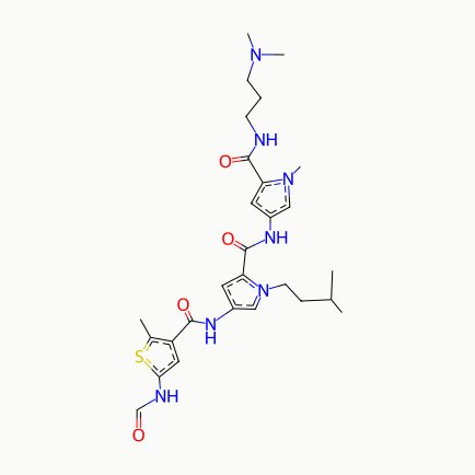 Cc1sc(NC=O)cc1C(=O)Nc1cc(C(=O)Nc2cc(C(=O)NCCCN(C)C)n(C)c2)n(CCC(C)C)c1